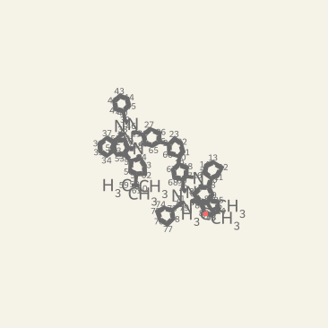 CC(C)(C)c1ccc2c(c1)c1ccccc1n2-c1cc(-c2cccc(-c3ccc(-c4nc(-c5ccccc5)nc(-c5ccccc5)n4)c(-n4c5ccccc5c5cc(C(C)(C)C)ccc54)c3)c2)ccc1-c1nc(-c2ccccc2)nc(-c2ccccc2)n1